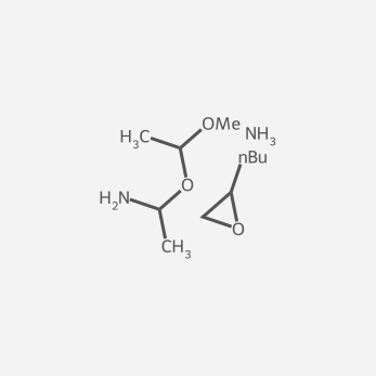 CCCCC1CO1.COC(C)OC(C)N.N